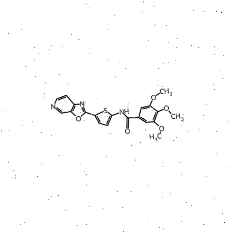 COc1cc(C(=O)Nc2ccc(-c3nc4ccncc4o3)s2)cc(OC)c1OC